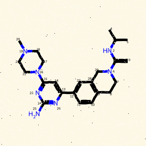 C=C(NC(C)C)N1CCc2ccc(-c3cc(N4CCN(C)CC4)nc(N)n3)cc2C1